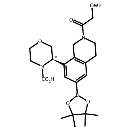 COCC(=O)N1CCc2cc(B3OC(C)(C)C(C)(C)O3)cc([C@@H]3COCCN3C(=O)O)c2C1